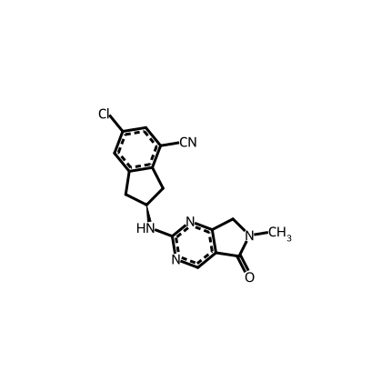 CN1Cc2nc(N[C@H]3Cc4cc(Cl)cc(C#N)c4C3)ncc2C1=O